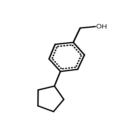 OCc1ccc(C2CCCC2)cc1